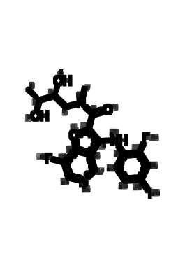 C[C@H](O)[C@@H](O)CN(C)C(=O)c1oc2c(F)cncc2c1Nc1ccc(I)cc1F